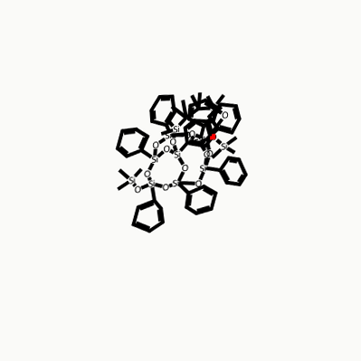 CC1(C)C(C)(C)[Si](C)(C)O[Si]2(c3ccccc3)O[Si]3(c4ccccc4)O[Si](O[Si](C)(C)C)(c4ccccc4)O[Si](c4ccccc4)(O[Si]4(c5ccccc5)O[Si](O[Si](C)(C)C)(c5ccccc5)O[Si](c5ccccc5)(O3)O[Si](c3ccccc3)(O4)O[Si]1(C)C)O2